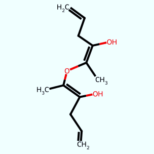 C=CCC(O)=C(C)OC(C)=C(O)CC=C